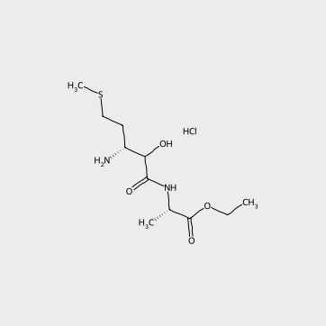 CCOC(=O)[C@H](C)NC(=O)C(O)[C@H](N)CCSC.Cl